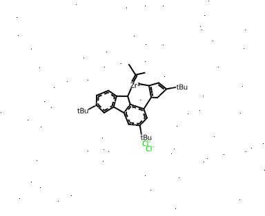 C[C](C)=[Zr+2][CH]1c2ccc(C(C)(C)C)cc2-c2cc(C(C)(C)C)cc(C3=C(C)C=C(C(C)(C)C)C3)c21.[Cl-].[Cl-]